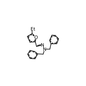 CCc1ccc(C=NN(Cc2ccccc2)Cc2ccccc2)o1